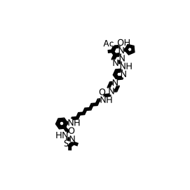 CC(=O)C1=C(C)c2cnc(Nc3ccc(N4CCN(CC(=O)NCCCCCCCCCNc5ccccc5C(=O)Nc5nc(C)c(C)s5)CC4)cn3)nc2N(C2CCCC2)C1O